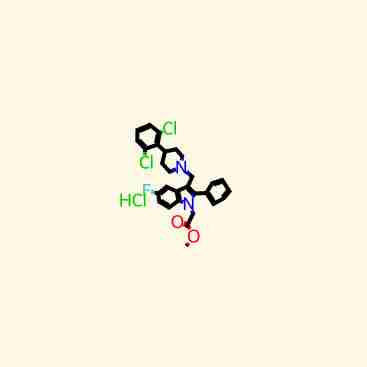 COC(=O)Cn1c(-c2ccccc2)c(CN2CCC(c3c(Cl)cccc3Cl)CC2)c2cc(F)ccc21.Cl